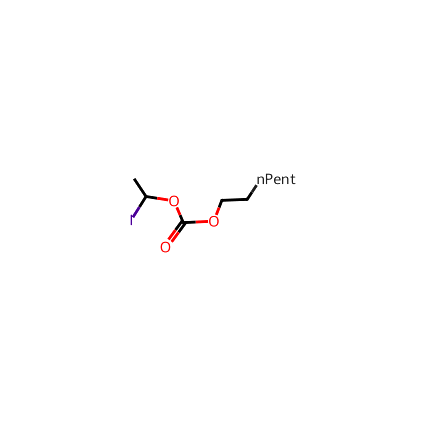 CCCCCCCOC(=O)OC(C)I